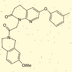 COc1ccc2c(c1)CN(C(=O)CN1C(=O)CCc3cc(Oc4cccc(C)c4)cnc31)CC2